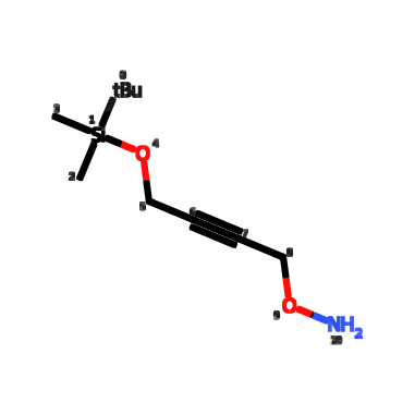 CC(C)(C)[Si](C)(C)OCC#CCON